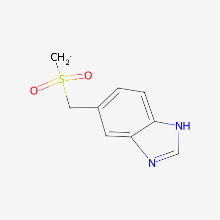 [CH2]S(=O)(=O)Cc1ccc2[nH]cnc2c1